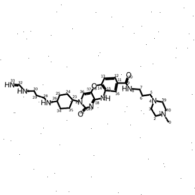 CN1CCN(CCCNC(=O)c2ccc3c(c2)Nc2nc(=O)n(C4CCC(NCCCNC=N)CC4)cc2O3)CC1